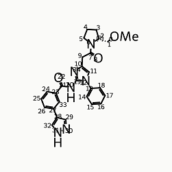 COC[C@H]1CCCN1C(=O)Cc1cn(-c2ccccc2)c(NC(=O)c2cccc(-c3cn[nH]c3)c2)n1